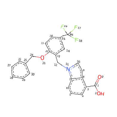 O=C(O)c1cccc2c1ccn2Cc1cc(C(F)(F)F)ccc1OCc1ccccc1